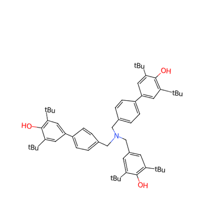 CC(C)(C)c1cc(CN(Cc2ccc(-c3cc(C(C)(C)C)c(O)c(C(C)(C)C)c3)cc2)Cc2ccc(-c3cc(C(C)(C)C)c(O)c(C(C)(C)C)c3)cc2)cc(C(C)(C)C)c1O